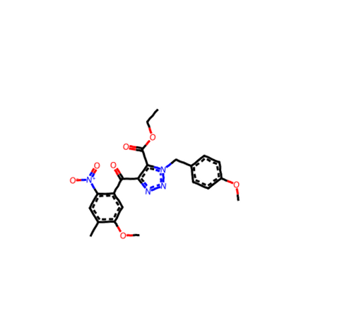 CCOC(=O)c1c(C(=O)c2cc(OC)c(C)cc2[N+](=O)[O-])nnn1Cc1ccc(OC)cc1